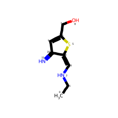 CCN/C=C1/SC(CO)=CC1=N